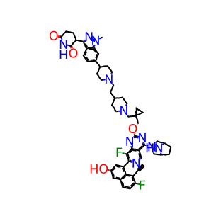 C#Cc1c(F)ccc2cc(O)cc(-c3ncc4c(N5CC6CCC(C5)N6)nc(OCC5(CN6CCC(CCN7CCC(c8ccc9c(C%10CCC(=O)NC%10=O)nn(C)c9c8)CC7)CC6)CC5)nc4c3F)c12